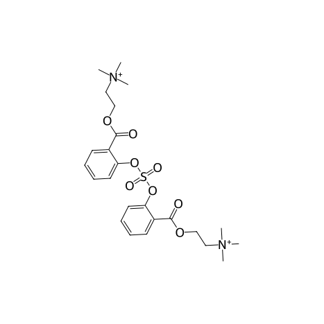 C[N+](C)(C)CCOC(=O)c1ccccc1OS(=O)(=O)Oc1ccccc1C(=O)OCC[N+](C)(C)C